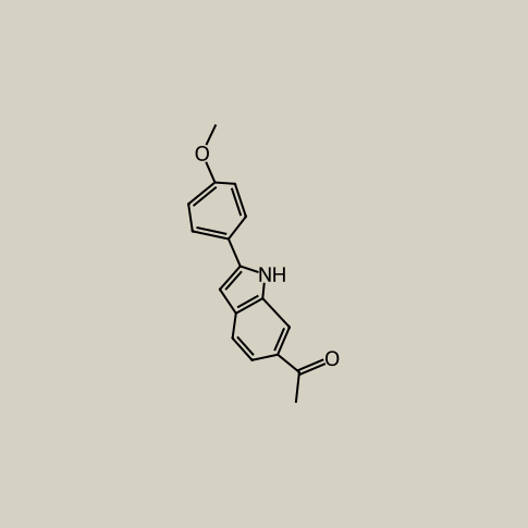 COc1ccc(-c2cc3ccc(C(C)=O)cc3[nH]2)cc1